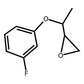 CC(Oc1cccc(F)c1)C1CO1